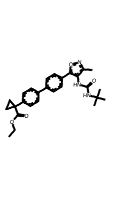 CCOC(=O)C1(c2ccc(-c3ccc(-c4onc(C)c4NC(=O)NC(C)(C)C)cc3)cc2)CC1